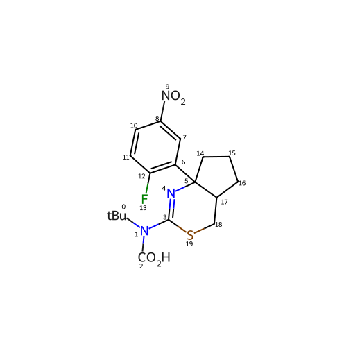 CC(C)(C)N(C(=O)O)C1=NC2(c3cc([N+](=O)[O-])ccc3F)CCCC2CS1